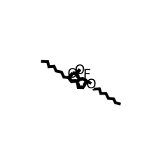 CCCCCCCCOc1ccc2cc(CCCCCCC)oc(=O)c2c1F